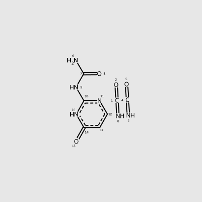 N=C=O.N=C=O.NC(=O)Nc1nccc(=O)[nH]1